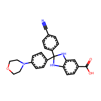 N#Cc1ccc(C2(c3ccc(N4CCOCC4)cc3)Nc3ccc(C(=O)O)cc3N2)cc1